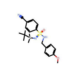 COc1ccc(CNS(=O)(=N[Si](C)(C)C(C)(C)C)c2ccc(C#N)cc2)cc1